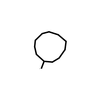 [CH2]C1CCCCCCCCCC1